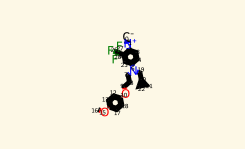 [C-]#[N+]c1ccc(N(CCCOc2ccc(OC)cc2)CC2CC2)cc1C(F)(F)F